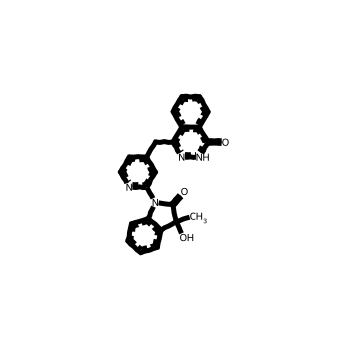 CC1(O)C(=O)N(c2cc(Cc3n[nH]c(=O)c4ccccc34)ccn2)c2ccccc21